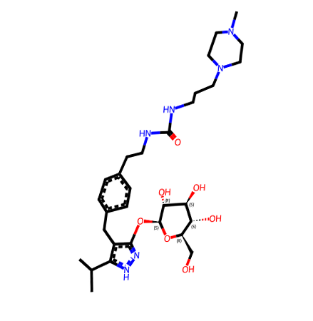 CC(C)c1[nH]nc(O[C@@H]2O[C@H](CO)[C@@H](O)[C@H](O)[C@H]2O)c1Cc1ccc(CCNC(=O)NCCCN2CCN(C)CC2)cc1